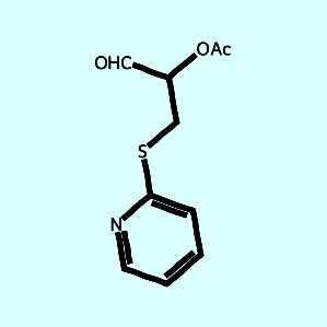 CC(=O)OC(C=O)CSc1ccccn1